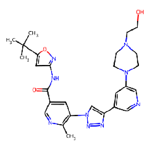 Cc1ncc(C(=O)Nc2cc(C(C)(C)C)on2)cc1-n1cc(-c2cncc(N3CCN(CCO)CC3)c2)nn1